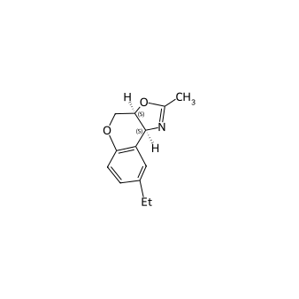 CCc1ccc2c(c1)[C@@H]1N=C(C)O[C@@H]1CO2